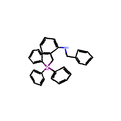 c1ccc(CNc2ccccc2C[PH](c2ccccc2)(c2ccccc2)c2ccccc2)cc1